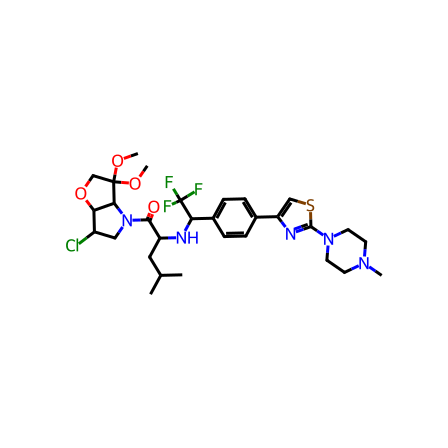 COC1(OC)COC2C(Cl)CN(C(=O)C(CC(C)C)NC(c3ccc(-c4csc(N5CCN(C)CC5)n4)cc3)C(F)(F)F)C21